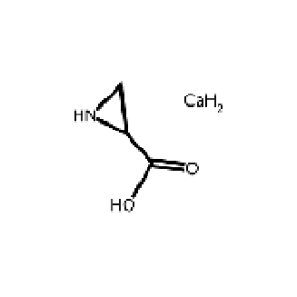 O=C(O)C1CN1.[CaH2]